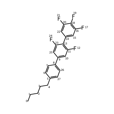 CCCCCc1ccc(-c2cc(F)c(-c3cc(F)c(F)c(F)c3)c(F)c2)cc1